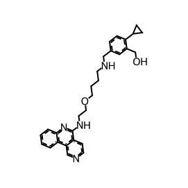 OCc1cc(CNCCCCOCCNc2nc3ccccc3c3cnccc23)ccc1C1CC1